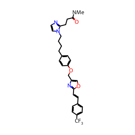 CNC(=O)CCc1nccn1CCCCc1ccc(OCc2coc(/C=C/c3ccc(C(F)(F)F)cc3)n2)cc1